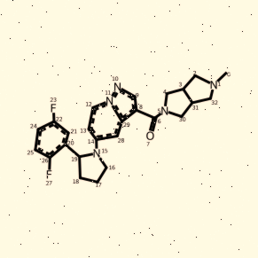 CN1CC2CN(C(=O)c3cnn4ccc(N5CCCC5c5cc(F)ccc5F)cc34)CC2C1